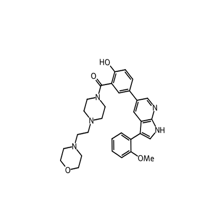 COc1ccccc1-c1c[nH]c2ncc(-c3ccc(O)c(C(=O)N4CCN(CCN5CCOCC5)CC4)c3)cc12